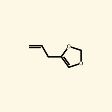 C=C[CH]C1=COCO1